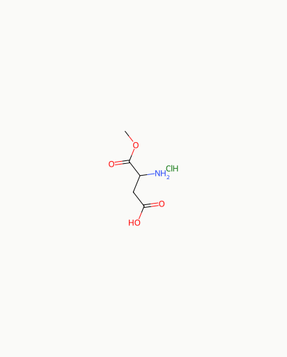 COC(=O)C(N)CC(=O)O.Cl